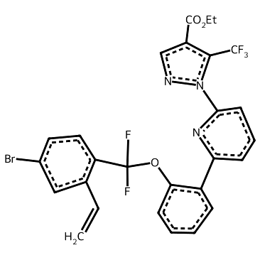 C=Cc1cc(Br)ccc1C(F)(F)Oc1ccccc1-c1cccc(-n2ncc(C(=O)OCC)c2C(F)(F)F)n1